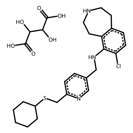 Clc1ccc2c(c1NCc1ccc(CSC3CCCCC3)nc1)CCNCC2.O=C(O)C(O)C(O)C(=O)O